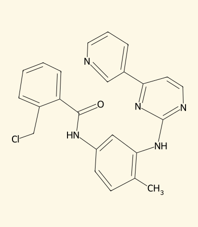 Cc1ccc(NC(=O)c2ccccc2CCl)cc1Nc1nccc(-c2cccnc2)n1